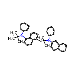 CC(C)(C)N(c1ccccc1)c1cccc2c(CC(C)(C)N(c3ccccc3)c3ccc4ccccc4c3)cccc12